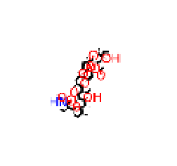 CC[C@@H](C(=O)[C@@H](C)[C@@H](O)[C@H](C)[C@@H]1O[C@@H]([C@@H](CC)C(=O)NOC)CC[C@@H]1C)[C@H]1O[C@]2(C=C[C@@H](OC(C)=O)[C@]3(CC[C@@](C)([C@H]4CC[C@](O)(CC)[C@H](C)O4)O3)O2)[C@H](C)C[C@@H]1C